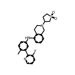 Cc1ccc(Nc2cccc3c2CCN(C2CCS(=O)(=O)C2)C3)cc1-c1ncccc1F